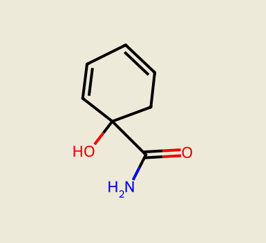 NC(=O)C1(O)C=CC=CC1